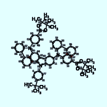 CC(C)(C)c1ccc(-n2c3ccc(N(c4ccc(B5OC(C)(C)C(C)(C)O5)cc4)c4ccccc4-c4ccccc4)cc3c3cc(N(c4ccc(B5OC(C)(C)C(C)(C)O5)cc4)c4ccccc4-c4ccccc4)ccc32)cc1